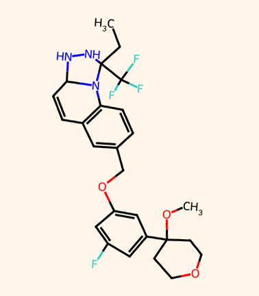 CCC1(C(F)(F)F)NNC2C=Cc3cc(COc4cc(F)cc(C5(OC)CCOCC5)c4)ccc3N21